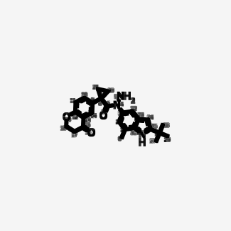 Cc1cc(N(N)C(=O)C2(c3ccc4c(c3)C(=O)CCO4)CC2)cc2cc(C(C)(C)C)[nH]c12